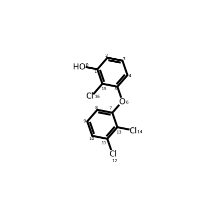 Oc1cccc(Oc2cccc(Cl)c2Cl)c1Cl